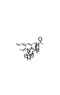 C=C/C=C1/C=C(CNC(C)=O)[C@@H](C(F)(F)F)N([SH](=O)=O)/C1=C/C